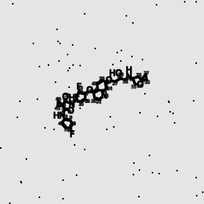 O=C(Nc1ccc(F)cc1)C1(C(=O)Nc2ccc(Oc3ccnc4cc(OC[C@@H](O)CNC5COC6(CC6)C5)ccc34)c(F)c2)CC1